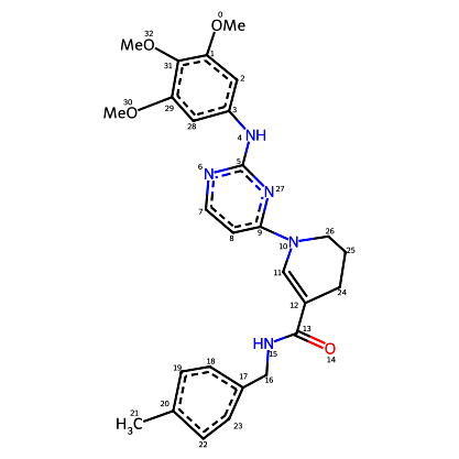 COc1cc(Nc2nccc(N3C=C(C(=O)NCc4ccc(C)cc4)CCC3)n2)cc(OC)c1OC